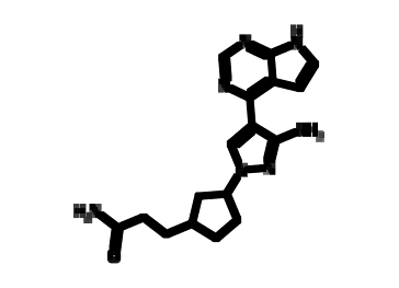 NC(=O)CCC1CCC(n2cc(-c3ncnc4[nH]ccc34)c(N)n2)C1